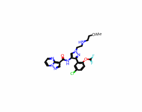 COCCNCCn1cc(NC(=O)c2cnn3cccnc23)c(-c2cc(Cl)ccc2OC(F)F)n1